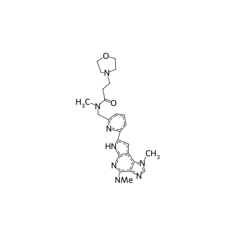 CNc1nc2[nH]c(-c3cccc(CN(C)C(=O)CCN4CCOCC4)n3)cc2c2c1ncn2C